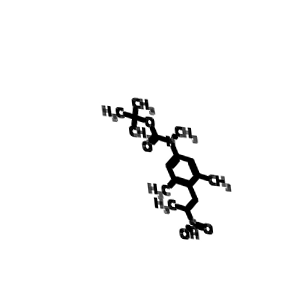 Cc1cc(N(C)C(=O)OC(C)(C)C)cc(C)c1CC(C)[SH](=O)=O